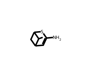 CC1C2C=C(N)SC1C2